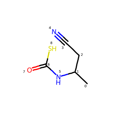 CC(CC#N)NC(=O)S